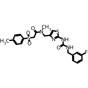 Cc1ccc(S(=O)(=O)CC(=O)N(C)Cc2csc(NC(=O)NCc3cccc(F)c3)n2)cc1